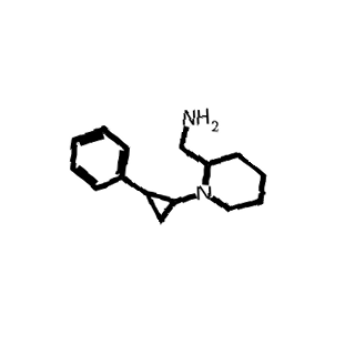 NCC1CCCCN1C1CC1c1ccccc1